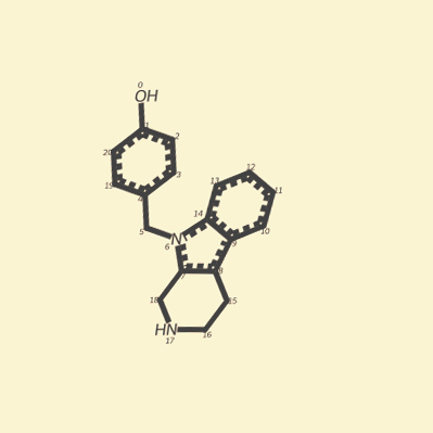 Oc1ccc(Cn2c3c(c4ccccc42)CCNC3)cc1